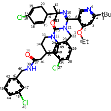 CCOc1cc(C(C)(C)C)ncc1/C(=N/C(C)(C)C1C=CC(Cl)=CC1)N(Cc1ccc(Cl)cc1)C(=O)N1CCC(CC(=O)NCc2cccc(Cl)c2)CC1